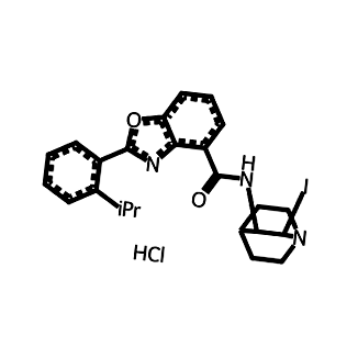 CC(C)c1ccccc1-c1nc2c(C(=O)NC3C4CCN(CC4)C3I)cccc2o1.Cl